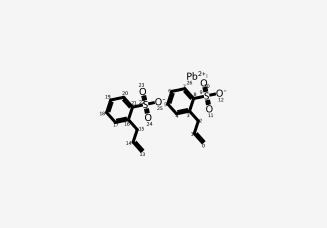 C=CCc1ccccc1S(=O)(=O)[O-].C=CCc1ccccc1S(=O)(=O)[O-].[Pb+2]